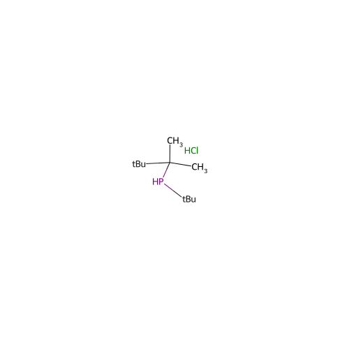 CC(C)(C)PC(C)(C)C(C)(C)C.Cl